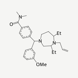 C=CCN1C(CC)CCN(C(c2ccc(C(=O)N(C)C)cc2)c2cccc(OC)c2)CC1CC